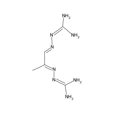 CC(/C=N/N=C(N)N)=NN=C(N)N